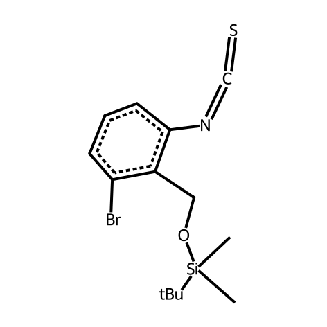 CC(C)(C)[Si](C)(C)OCc1c(Br)cccc1N=C=S